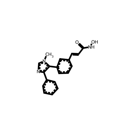 Cn1cnc(-c2ccccc2)c1-c1cccc(/C=C/C(=O)NO)c1